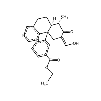 CCOC(=O)c1cccc(C23CC(=CO)C(=O)[C@@H](C)[C@@H]2CCc2cncnc23)c1